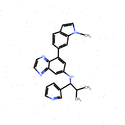 CC(C)[C@H](Nc1cc(-c2ccc3ccn(C)c3c2)c2nccnc2c1)c1cccnc1